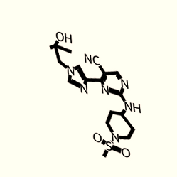 CC(C)(O)Cn1cnc(-c2nc(NC3CCN(S(C)(=O)=O)CC3)ncc2C#N)c1